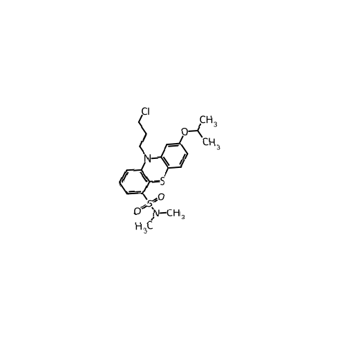 CC(C)Oc1ccc2c(c1)N(CCCCl)c1cccc(S(=O)(=O)N(C)C)c1S2